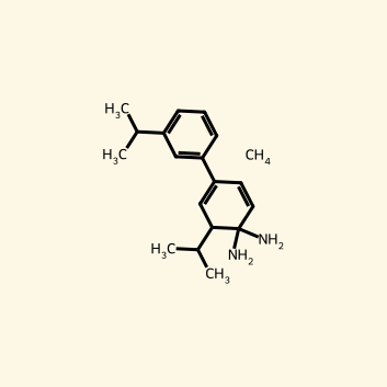 C.CC(C)c1cccc(C2=CC(C(C)C)C(N)(N)C=C2)c1